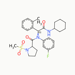 Cc1ccccc1[C@@H](C(=O)NC1CCCCC1)N(C(=O)C1CCCN1S(C)(=O)=O)c1cccc(F)c1